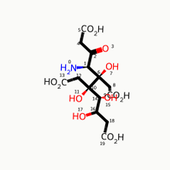 N[C@@H](C(=O)CC(=O)O)[C@](O)(CC(=O)O)[C@@](O)(CC(=O)O)[C@H](O)C(O)CC(=O)O